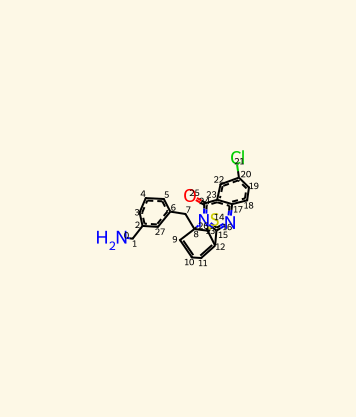 NCc1cccc(CC23C=CC=C(C2=S)c2nc4ccc(Cl)cc4c(=O)n23)c1